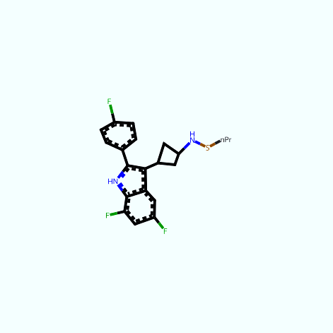 CCCSNC1CC(c2c(-c3ccc(F)cc3)[nH]c3c(F)cc(F)cc23)C1